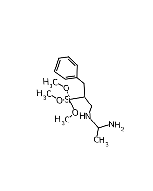 CO[Si](OC)(OC)C(CNC(C)N)Cc1ccccc1